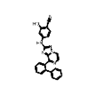 N#Cc1ccc(Nc2nc3c(-c4ccccc4-c4ccccc4)nccn3n2)cc1O